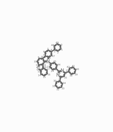 c1ccc(-c2ccc3c4ccc5sc6ccccc6c5c4n(-c4ccc(-c5nc(-c6ccccc6)cc(-c6ccccc6)n5)cc4)c3c2)cc1